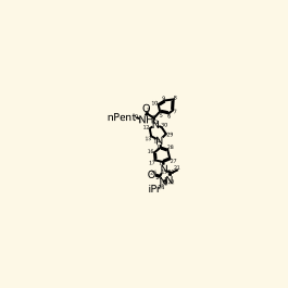 CCCCCNC(=O)C(c1ccccc1)N1CCN(c2ccc(-n3c(C)nn(C(C)C)c3=O)cc2)CC1